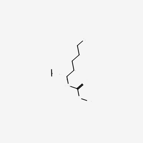 CC(=O)O.CC(C)(C)OC(=O)N[C@@H](CCCCN)C(=O)O